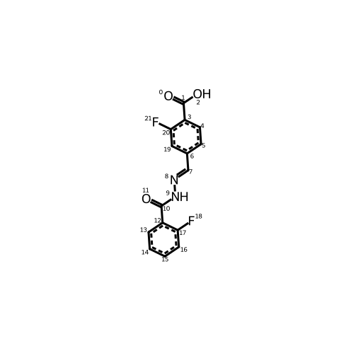 O=C(O)c1ccc(/C=N/NC(=O)c2ccccc2F)cc1F